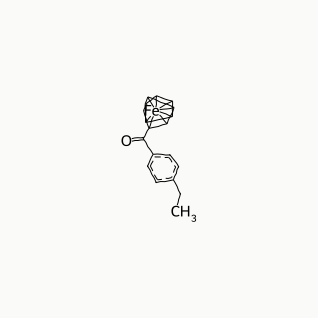 CCc1ccc(C(=O)[C]23[CH]4[CH]5[CH]6[CH]2[Fe]56432789[CH]3[CH]2[CH]7[CH]8[CH]39)cc1